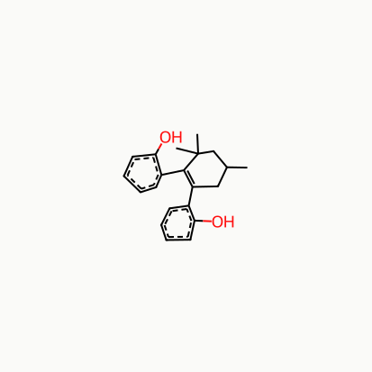 CC1CC(c2ccccc2O)=C(c2ccccc2O)C(C)(C)C1